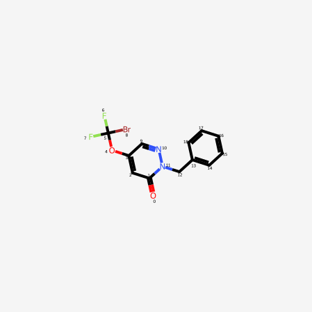 O=c1cc(OC(F)(F)Br)cnn1Cc1ccccc1